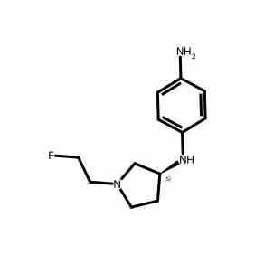 Nc1ccc(N[C@H]2CCN(CCF)C2)cc1